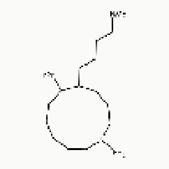 CCCC1CCCCCN(P)CCCC1CCCCNC